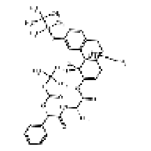 C[C@H](NC(=O)[C@@H](OC(=O)OC(C)(C)C)c1ccccc1)C(=O)OC1=CC[C@]2(O)C3Cc4ccc(O[Si](C)(C)C(C)(C)C)c5c4[C@@]2(CCN3C)[C@H]1O5